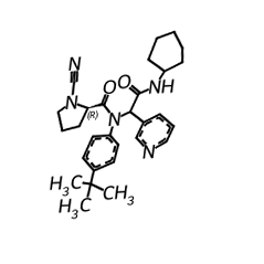 CC(C)(C)c1ccc(N(C(=O)[C@H]2CCCN2C#N)C(C(=O)NC2CCCCC2)c2cccnc2)cc1